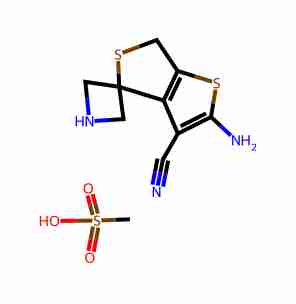 CS(=O)(=O)O.N#Cc1c(N)sc2c1C1(CNC1)SC2